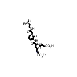 CCOC(=O)/C=C/CCC(NC(=O)CCC(=O)O)C(=O)Nc1cccn(CC(=O)NCCN(CC)CC)c1=O